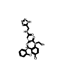 CC(C)CN1C(=O)[C@@H](CC(=O)NCc2nnn[nH]2)O[C@H](c2ccccc2Cl)c2cc(Cl)ccc21